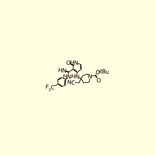 CC(C)(C)OC(=O)N1CCC(CC#N)(Nc2cc[nH]c(=O)c2C(=N)Nc2ccc(C(F)(F)F)cc2)CC1